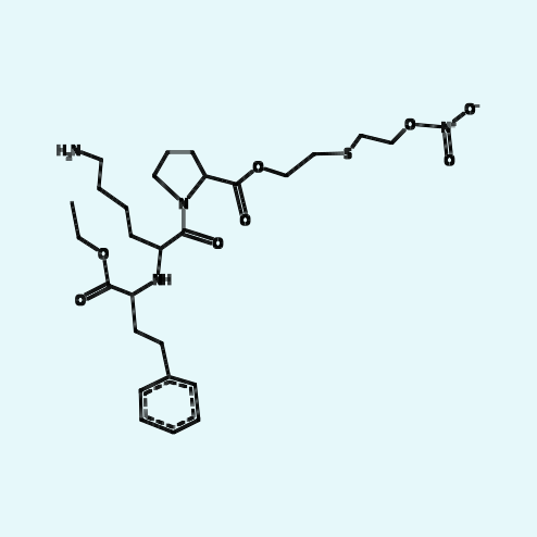 CCOC(=O)C(CCc1ccccc1)NC(CCCCN)C(=O)N1CCCC1C(=O)OCCSCCO[N+](=O)[O-]